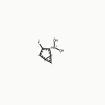 Fc1cc2cc-2c1.OBO